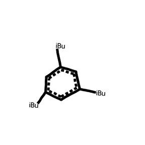 CCC(C)c1cc(C(C)CC)cc(C(C)CC)c1